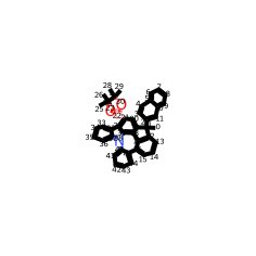 CC1(c2ccc3ccccc3c2)c2cccc3c2-c2c1cc(B1OC(C)(C)C(C)(C)O1)c1c4ccccc4n(c21)-c1ccccc1-3